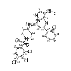 Bc1cnn2c(NC3CCN(S(=O)(=O)c4ccc(Cl)c(Cl)c4Cl)CC3)cc(-c3ccccc3Cl)nc12